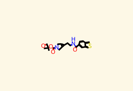 CC1(OC(=O)N2CC3C(CCNC(=O)c4ccc5cscc5c4)C3C2)COC1